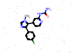 Cn1cnc(-c2ccc(F)cc2)c1-c1ccnc(NC(N)=O)c1